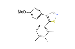 COc1ccc(-c2cnsc2-c2ccc(C)c(C)c2C)cc1